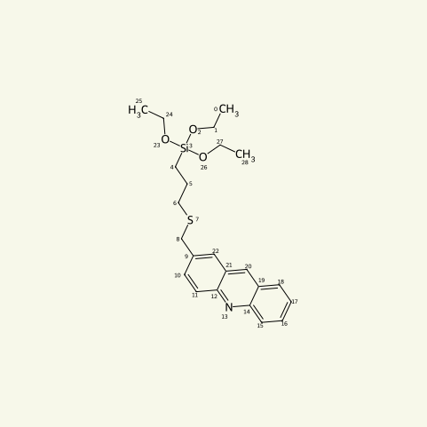 CCO[Si](CCCSCc1ccc2nc3ccccc3cc2c1)(OCC)OCC